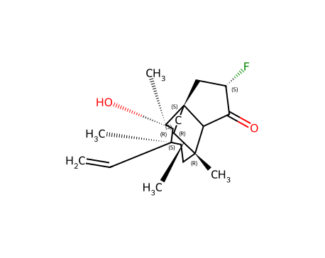 C=C[C@]1(C)CC[C@@]2(C)C3C(=O)[C@@H](F)C[C@@]3(CC[C@H]2C)[C@@H](C)[C@@H]1O